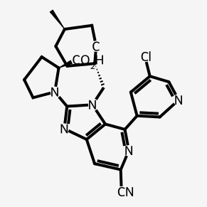 C[C@H]1CC[C@H](Cn2c(N3CCC[C@H]3C(=O)O)nc3cc(C#N)nc(-c4cncc(Cl)c4)c32)CC1